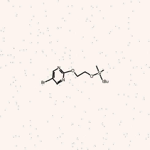 CC(C)(C)[Si](C)(C)OCCOc1ncc(Br)cn1